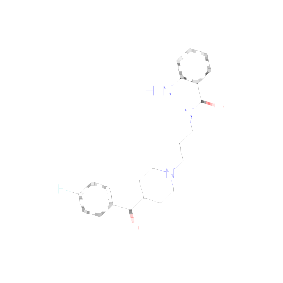 Nc1ccccc1C(=O)NCCCN1CCC(C(=O)c2ccc(F)cc2)CC1